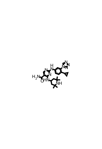 CC1(C)CC(Nc2nc(Nc3ccc(C4CC4)c(-n4cnnn4)c3)ncc2C(N)=O)CC(C)(C)N1